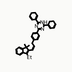 CCC1=C(/C=C\Cc2ccc(C3=NC(C4=CC=CCC4)NC(C4=CCCC=C4)=N3)cc2)C(C)(C)c2ccccc21